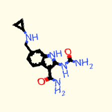 NC(=O)Nc1[nH]c2cc(CNC3CC3)ccc2c1C(N)=O